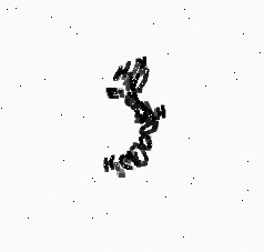 CCc1cc2cnc(Nc3ccc(OC4CCN(C)CC4)cc3)nc2n1-c1cccc(N)n1